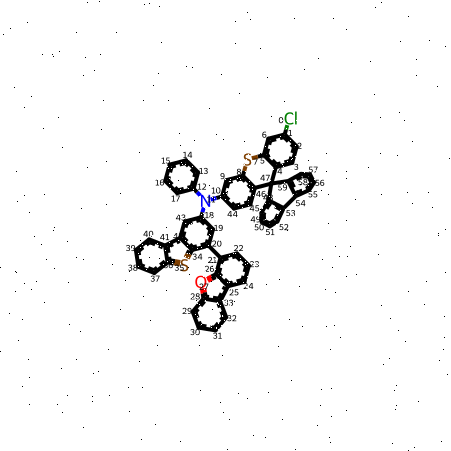 Clc1ccc2c(c1)Sc1cc(N(c3ccccc3)c3cc(-c4cccc5c4oc4ccccc45)c4sc5ccccc5c4c3)ccc1C21c2ccccc2-c2ccccc21